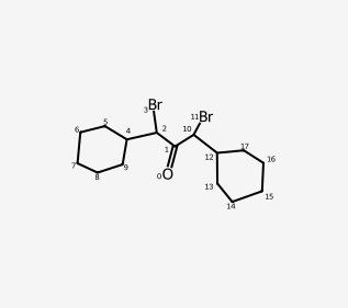 O=C(C(Br)C1CCCCC1)C(Br)C1CCCCC1